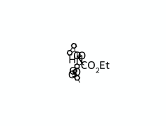 CCOC(=O)C(CNC(=O)OCC1c2ccccc2-c2ccccc21)c1cccc(OS(=O)(=O)c2ccc(C)cc2)c1